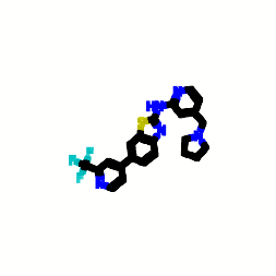 FC(F)(F)c1cc(-c2ccc3nc(Nc4cc(CN5CCCC5)ccn4)sc3c2)ccn1